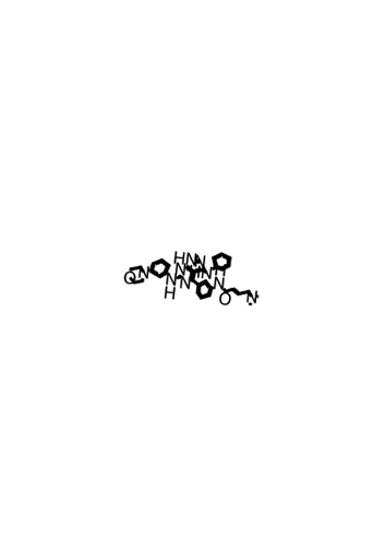 CN(C)C/C=C/C(=O)Nc1cccc(-c2nc(Nc3cccc(N4CCOCC4)c3)nc3[nH]nc(Nc4ccccc4)c23)c1